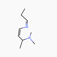 CC/C=N\C=C/C(C)N(C)C